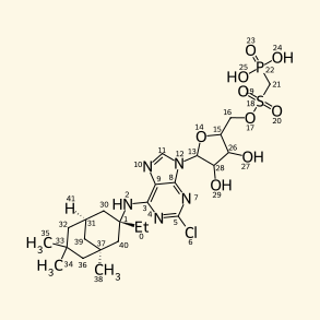 CC[C@]1(Nc2nc(Cl)nc3c2ncn3C2OC(COS(=O)(=O)CP(=O)(O)O)C(O)C2O)C[C@@H]2CC(C)(C)C[C@@](C)(C2)C1